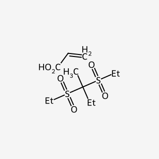 C=CC(=O)O.CCC(C)(S(=O)(=O)CC)S(=O)(=O)CC